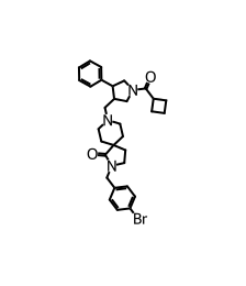 O=C(C1CCC1)N1CC(CN2CCC3(CC2)CCN(Cc2ccc(Br)cc2)C3=O)C(c2ccccc2)C1